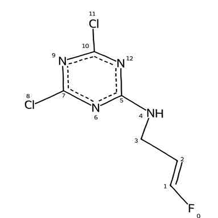 FC=CCNc1nc(Cl)nc(Cl)n1